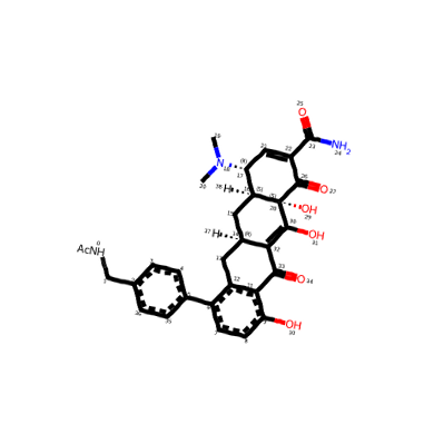 CC(=O)NCc1ccc(-c2ccc(O)c3c2C[C@H]2C[C@H]4[C@H](N(C)C)C=C(C(N)=O)C(=O)[C@@]4(O)C(O)=C2C3=O)cc1